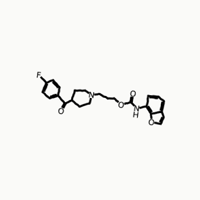 O=C(Nc1cccc2ccoc12)OCCCN1CCC(C(=O)c2ccc(F)cc2)CC1